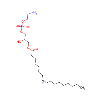 CCCCCCCC/C=C\CCCCCCC(=O)OCC(O)COP(=O)(O)OCCN